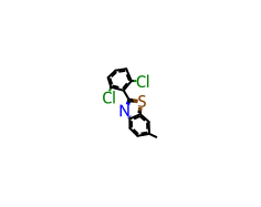 Cc1ccc2nc(-c3c(Cl)cccc3Cl)sc2c1